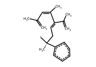 C=C(C)/C=C(C)\C(=C\C[C@](C)(I)c1ccccc1)C(=C)C